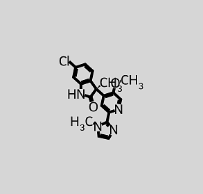 COc1cnc(-c2nccn2C)cc1[C@@]1(C)C(=O)Nc2cc(Cl)ccc21